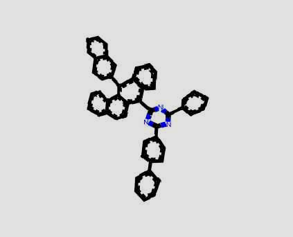 c1ccc(-c2ccc(-c3nc(-c4ccccc4)nc(-c4c5ccccc5c(-c5ccc6ccccc6c5)c5c4ccc4ccccc45)n3)cc2)cc1